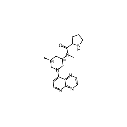 C[C@H]1C[C@@H](N(C)C(=O)C2CCCN2)CN(c2ccnc3nccnc23)C1